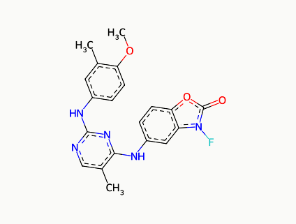 COc1ccc(Nc2ncc(C)c(Nc3ccc4oc(=O)n(F)c4c3)n2)cc1C